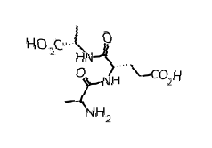 C[C@H](N)C(=O)N[C@@H](CCC(=O)O)C(=O)N[C@@H](C)C(=O)O